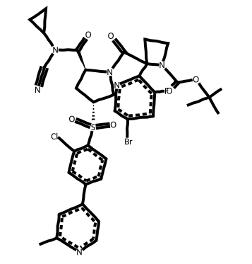 Cc1cc(-c2ccc(S(=O)(=O)[C@@H]3C[C@@H](C(=O)N(C#N)C4CC4)N(C(=O)C4(c5ncc(Br)cc5F)CCN4C(=O)OC(C)(C)C)C3)c(Cl)c2)ccn1